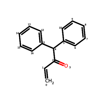 C=CC(=O)C(c1ccccc1)c1ccccc1